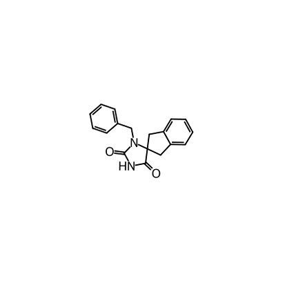 O=C1NC(=O)C2(Cc3ccccc3C2)N1Cc1ccccc1